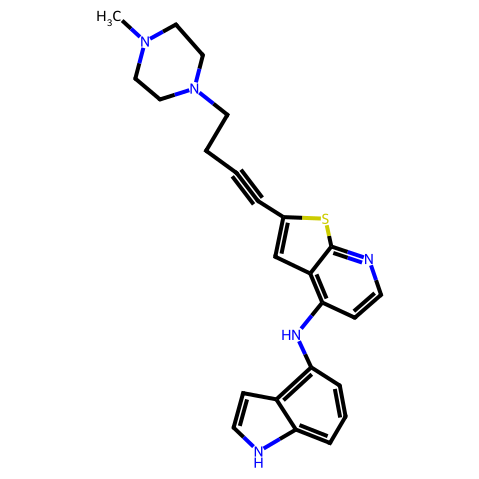 CN1CCN(CCC#Cc2cc3c(Nc4cccc5[nH]ccc45)ccnc3s2)CC1